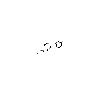 O=C(O)Nc1nnc2c(Nc3ccc(Br)cc3)nccn12